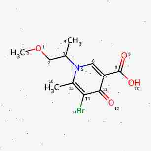 COCC(C)n1cc(C(=O)O)c(=O)c(Br)c1C